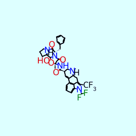 CN1C[C@H](C(=O)N[C@]2(C)O[C@@]3(O)[C@@H]4CCCN4C(=O)[C@H](Cc4ccccc4)N3C2=O)C=C2c3cccc4c3c(c(C(F)(F)F)n4C(F)F)C[C@H]21